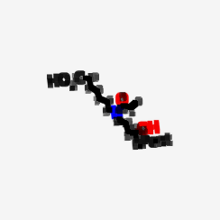 C=CC(=O)N(CCCCCCC(=O)O)CCCC(O)CCCCC